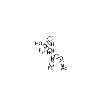 CC(=O)N1CCC(Oc2ccc3c(-c4ncc(C(=O)NC5(C(=O)O)CC6CC(C)CC5C6)c(C(F)(F)F)n4)cn(C4CCC(F)(F)CC4)c3c2)CC1